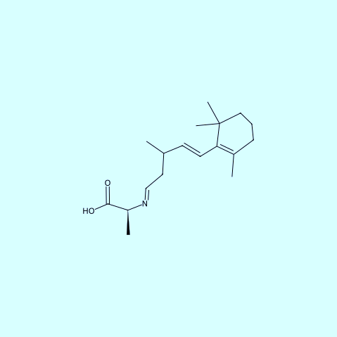 CC1=C(C=CC(C)CC=N[C@@H](C)C(=O)O)C(C)(C)CCC1